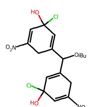 CC(C)COC(C1=CC(O)(Cl)C=C([N+](=O)[O-])C1)C1=CC(O)(Cl)C=C([N+](=O)[O-])C1